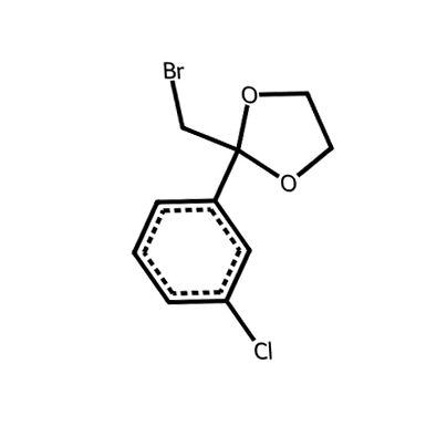 Clc1cccc(C2(CBr)OCCO2)c1